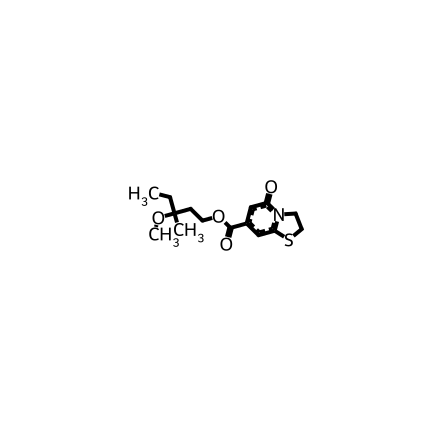 CCC(C)(CCOC(=O)c1cc2n(c(=O)c1)CCS2)OC